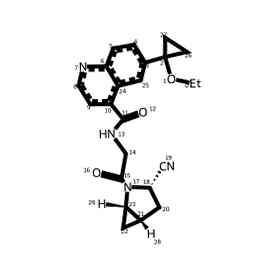 CCOC1(c2ccc3nccc(C(=O)NCC(=O)N4[C@H](C#N)C[C@@H]5C[C@@H]54)c3c2)CC1